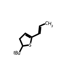 C/C=C/C1=CCC(C(C)(C)C)S1